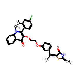 C=c1[nH]c(=O)/c(=C(/C)c2cccc(OCCOc3c(-c4ccc(F)cc4C)n(C)c4ccccc4c3=O)c2)s1